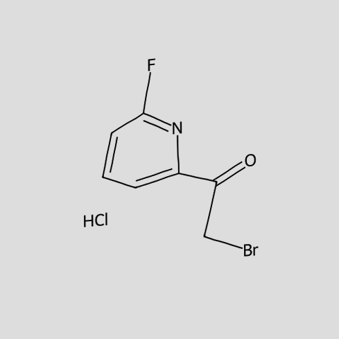 Cl.O=C(CBr)c1cccc(F)n1